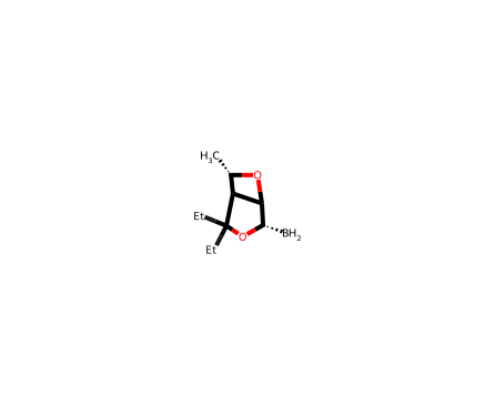 B[C@@H]1OC(CC)(CC)C2C1O[C@H]2C